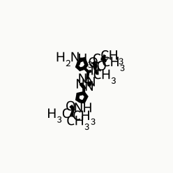 CN(C(=O)OC(C)(C)C)C(c1ccc(N)cc1)c1nnc(-c2ccc(NC(=O)C(C)(C)C)cc2)nn1